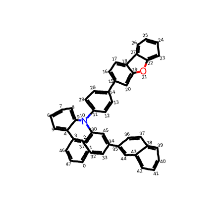 c1ccc(-c2ccccc2N(c2ccc(-c3ccc4c(c3)oc3ccccc34)cc2)c2cccc(-c3ccc4ccccc4c3)c2)cc1